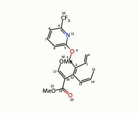 C=C/C(COc1cccc(C(F)(F)F)n1)=C(\C=C/C)C(=C\OC)/C(=O)OC